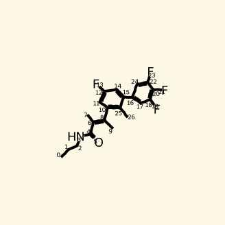 CCCNC(=O)/C(C)=C(\C)c1cc(F)cc(-c2cc(F)c(F)c(F)c2)c1C